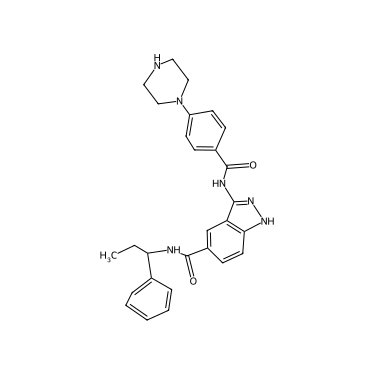 CCC(NC(=O)c1ccc2[nH]nc(NC(=O)c3ccc(N4CCNCC4)cc3)c2c1)c1ccccc1